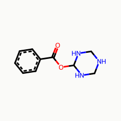 O=C(OC1NCNCN1)c1ccccc1